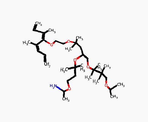 C=C/C=C(C)\C(OCCOC(C)(C)CC(COC(C)(C)C(C)(C)COC(C)C)OC(C)(C)CCOC(C)N)=C(\C)C=C